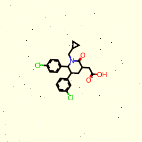 O=C(O)CC1CC(c2cccc(Cl)c2)C(c2ccc(Cl)cc2)N(CC2CC2)C1=O